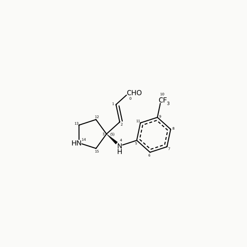 O=CC=C[C@@]1(Nc2cccc(C(F)(F)F)c2)CCNC1